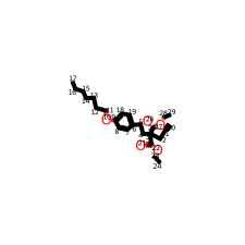 C#CCC(CCc1ccc(OCCCCCCC)cc1)(C(=O)OCC)C(=O)OCC